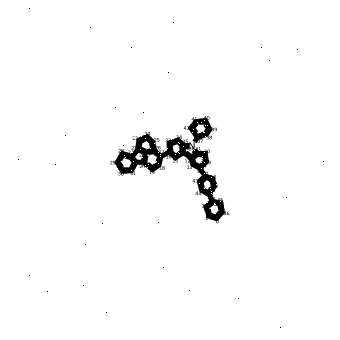 c1ccc(-c2ccc(-c3ccc4c(c3)c3cc(-c5ccc6c7c(cccc57)-c5ccccc5-6)ccc3n4-c3ccccc3)cc2)cc1